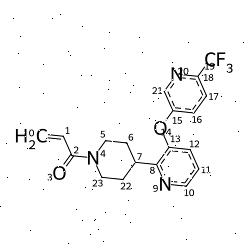 C=CC(=O)N1CCC(c2ncccc2Oc2ccc(C(F)(F)F)nc2)CC1